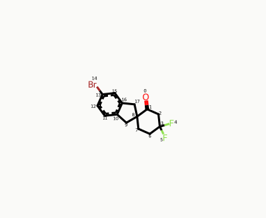 O=C1CC(F)(F)CCC12Cc1ccc(Br)cc1C2